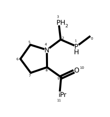 CPC(P)N1CCCC1C(=O)C(C)C